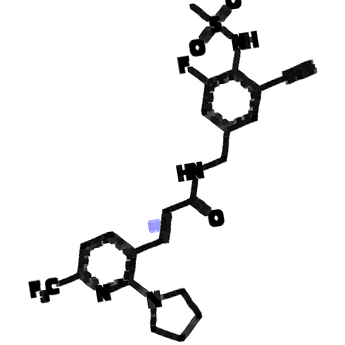 C#Cc1cc(CNC(=O)/C=C/c2ccc(C(F)(F)F)nc2N2CCCC2)cc(F)c1NS(C)(=O)=O